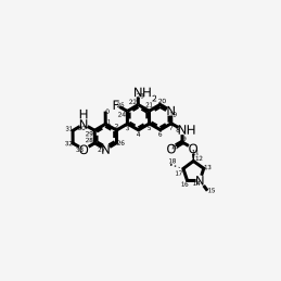 Cc1c(-c2cc3cc(NC(=O)O[C@H]4CN(C)C[C@@H]4C)ncc3c(N)c2F)cnc2c1NCCO2